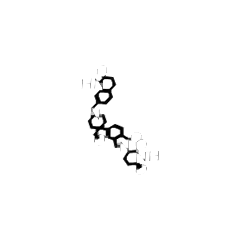 O=C1CCC(N2Cc3c(ccc4c3OCC43CCN(Cc4ccc5c(c4)NC(=O)CC5)CC3)C2=O)C(=O)N1